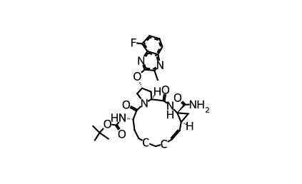 Cc1nc2cccc(F)c2nc1O[C@@H]1C[C@H]2C(=O)N[C@]3(C(N)=O)C[C@H]3/C=C\CCCCC[C@H](NC(=O)OC(C)(C)C)C(=O)N2C1